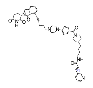 O=C(/C=C/c1cccnc1)NCCCCC1CCN(C(=O)c2ccc(N3CCN(CCCC#Cc4cccc5c4C(=O)N(C4CCC(=O)NC4=O)C5)CC3)cc2)CC1